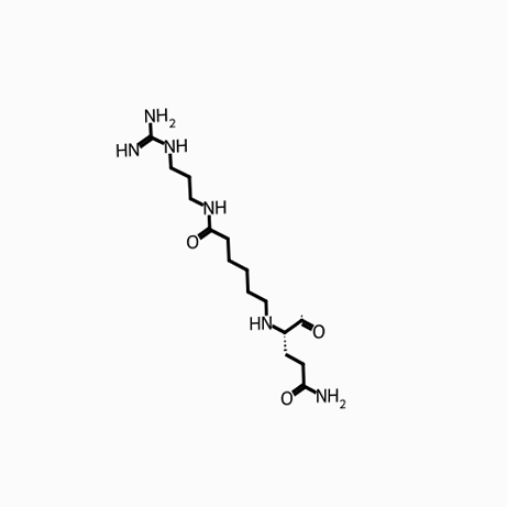 N=C(N)NCCCNC(=O)CCCCCN[C@H]([C]=O)CCC(N)=O